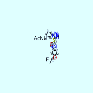 CC(=O)Nc1cccc(-n2nnnc2SCc2nc(-c3ccc(OC(F)(F)F)cc3)no2)c1